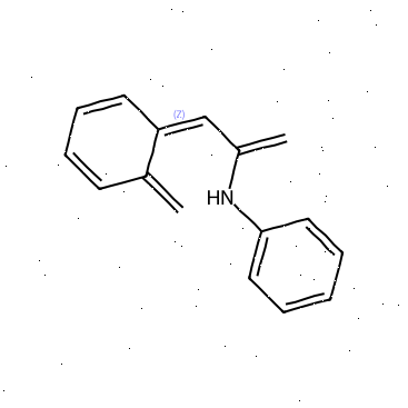 C=C(/C=c1/ccccc1=C)Nc1ccccc1